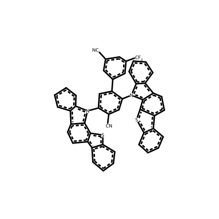 N#Cc1cc(-c2cc(-n3c4ccccc4c4ccc5c6ccccc6sc5c43)c(C#N)cc2-n2c3ccccc3c3ccc4c5ccccc5sc4c32)cc(C(F)(F)F)c1